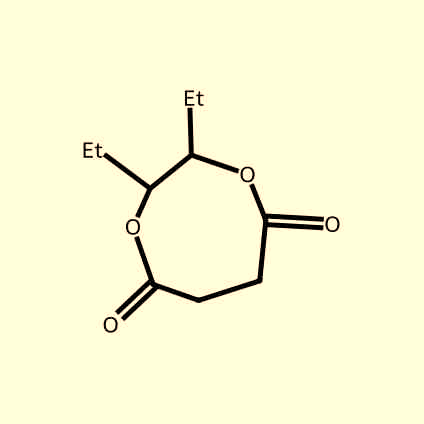 CCC1OC(=O)CCC(=O)OC1CC